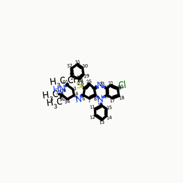 CC1(C)CC(N=c2cc3n(-c4ccccc4)c4ccc(Cl)cc4nc-3cc2Sc2ccccc2)CC(C)(C)N1